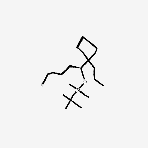 CCCC1([C@H](CCCI)O[Si](C)(C)C(C)(C)C)CCC1